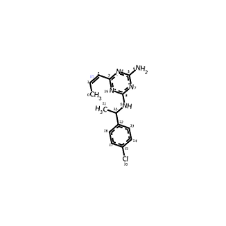 C/C=C\c1nc(N)nc(NC(C)c2ccc(Cl)cc2)n1